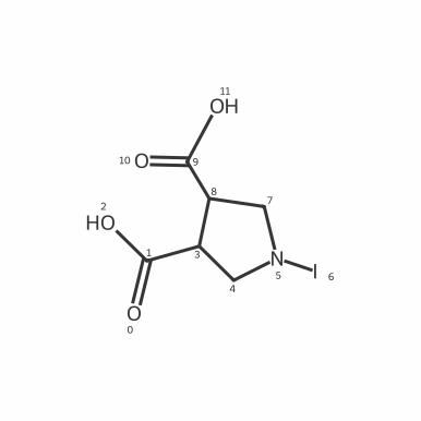 O=C(O)C1CN(I)CC1C(=O)O